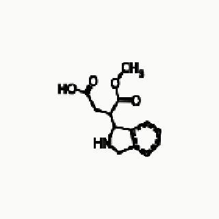 COC(=O)C(CC(=O)O)C1NCc2ccccc21